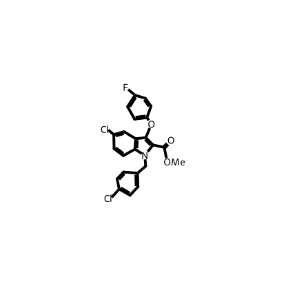 COC(=O)c1c(Oc2ccc(F)cc2)c2cc(Cl)ccc2n1Cc1ccc(Cl)cc1